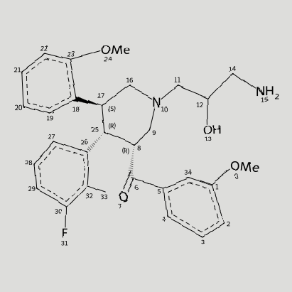 COc1cccc(C(=O)[C@H]2CN(CC(O)CN)C[C@H](c3[c]cccc3OC)[C@H]2c2cccc(F)c2C)c1